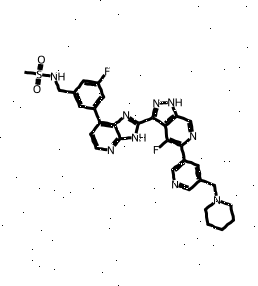 CS(=O)(=O)NCc1cc(F)cc(-c2ccnc3[nH]c(-c4n[nH]c5cnc(-c6cncc(CN7CCCCC7)c6)c(F)c45)nc23)c1